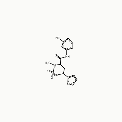 CN1C(C(=O)Nc2cccc(C#N)c2)CC(c2cccs2)NS1(=O)=O